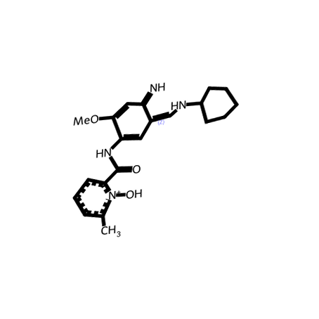 COC1=CC(=N)/C(=C\NC2CCCCC2)C=C1NC(=O)c1cccc(C)[n+]1O